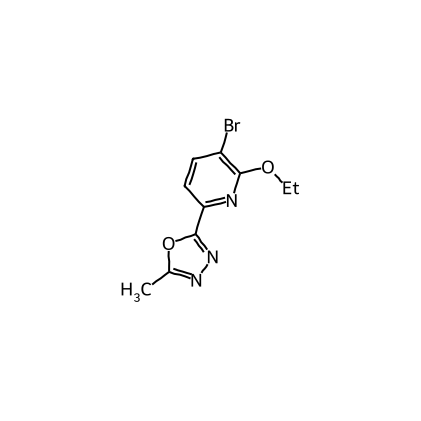 CCOc1nc(-c2nnc(C)o2)ccc1Br